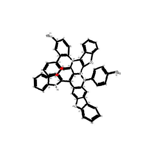 CC(C)(C)c1ccc(N2B3c4oc5ccccc5c4N(c4ccc(C(C)(C)C)cc4-c4ccccc4)c4cc5c(sc6ccccc65)c(c43)-c3cc4oc5ccccc5c4cc32)cc1